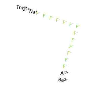 [Al+3].[Ba+2].[F-].[F-].[F-].[F-].[F-].[F-].[F-].[F-].[F-].[F-].[F-].[F-].[F-].[Na+].[Tm+3].[Zr+4]